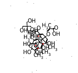 CC(=COC(C=C(C)C(=O)O)(C=C(C)C(=O)O)C(CO)(CO)C(C=C(C)C(=O)O)(C=C(C)C(=O)O)OC=C(C)C(=O)O)C(=O)O.OCC(CO)(CO)CO